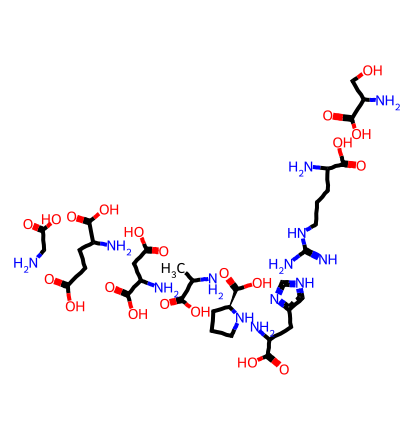 CC(N)C(=O)O.N=C(N)NCCCC(N)C(=O)O.NC(CC(=O)O)C(=O)O.NC(CCC(=O)O)C(=O)O.NC(CO)C(=O)O.NC(Cc1c[nH]cn1)C(=O)O.NCC(=O)O.O=C(O)[C@@H]1CCCN1